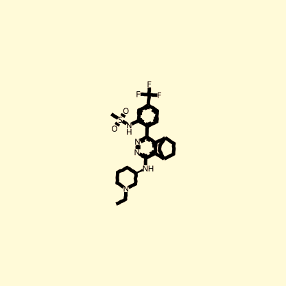 CCN1CCC[C@@H](Nc2nnc(-c3ccc(C(F)(F)F)cc3NS(C)(=O)=O)c3c2C2CCC3CC2)C1